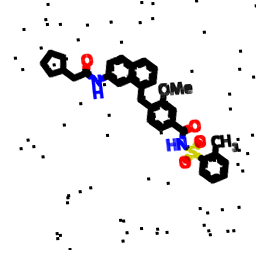 COc1cc(C(=O)NS(=O)(=O)c2ccccc2C)ccc1Cc1cccc2ccc(NC(=O)CC3CCCC3)cc12